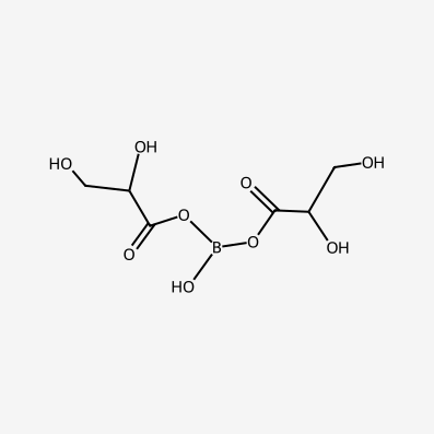 O=C(OB(O)OC(=O)C(O)CO)C(O)CO